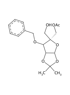 CC(=O)OC[C@]1(CO)OC2OC(C)(C)OC2C1OCc1ccccc1